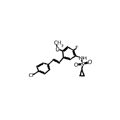 COc1cc(F)c(NS(=O)(=O)C2CC2)cc1/C=C/c1ccc(Cl)cc1